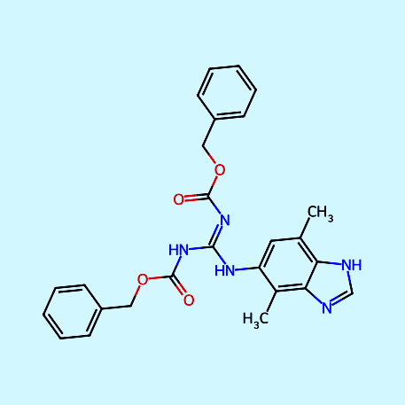 Cc1c(NC(=NC(=O)OCc2ccccc2)NC(=O)OCc2ccccc2)cc(C)c2[nH]cnc12